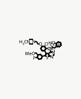 COCc1cc(-c2sc3ncnc(O[C@H](Cc4ccccc4O)C(=O)O)c3c2-c2ccc(OCCN3CCN(C)CC3)c(Cl)c2C)ccc1F